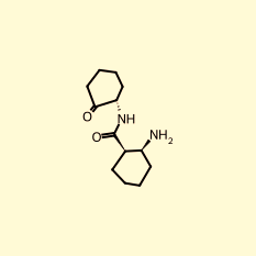 N[C@H]1CCCC[C@H]1C(=O)N[C@H]1CCCCC1=O